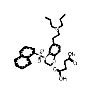 CCCN(CCC)CCc1ccc2c(c1)N(S(=O)(=O)c1cccc3ccccc13)CCO2.O=C(O)CCC(=O)O